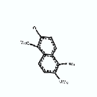 COc1ccc2c(OC)c([O])ccc2c1OC